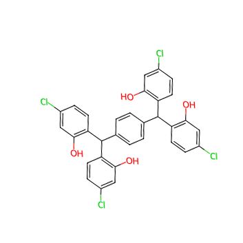 Oc1cc(Cl)ccc1C(c1ccc(C(c2ccc(Cl)cc2O)c2ccc(Cl)cc2O)cc1)c1ccc(Cl)cc1O